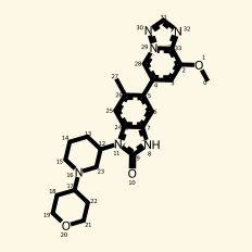 COc1cc(-c2cc3[nH]c(=O)n(C4CCCN(C5CCOCC5)C4)c3cc2C)cn2ncnc12